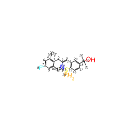 C=C(Cc1c(C(C)C)cc(F)cc1C(C)C)/N=S(/P)c1ccc(C(C)(C)O)cc1